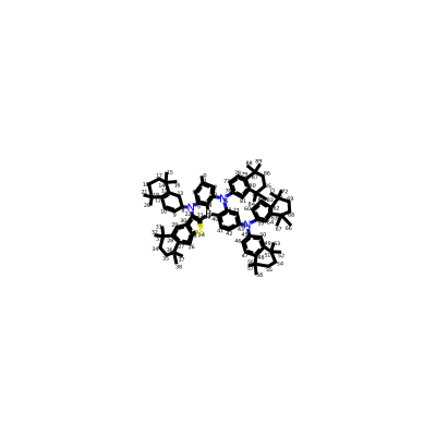 Cc1cc2c3c(c1)N(C1C=CC4=C(C1)C(C)(C)CCC4(C)C)c1c(sc4cc5c(cc14)C(C)(C)CCC5(C)C)B3c1ccc(N(c3ccc4c(c3)C(C)(C)CCC4(C)C)c3ccc4c(c3)C(C)(C)CCC4(C)C)cc1N2c1ccc2c(c1)C(C)(C)CCC2(C)C